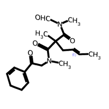 C/C=C/CC(C)(C(=O)N(C)C=O)C(=O)N(C)CC(=O)C1=CCCC=C1